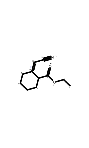 CCOC(=O)C1CCCC/C1=C/C#N